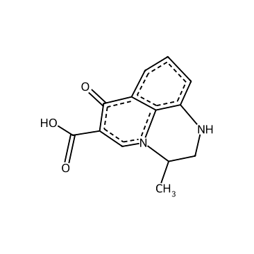 CC1CNc2cccc3c(=O)c(C(=O)O)cn1c23